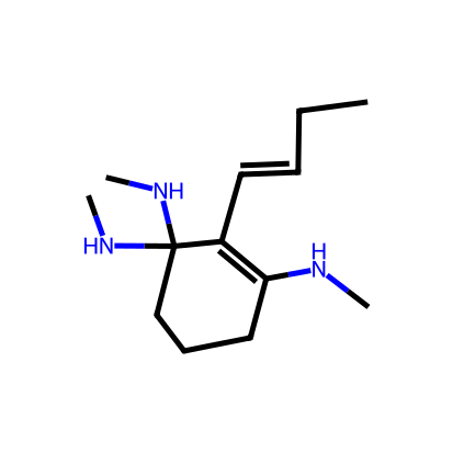 CCC=CC1=C(NC)CCCC1(NC)NC